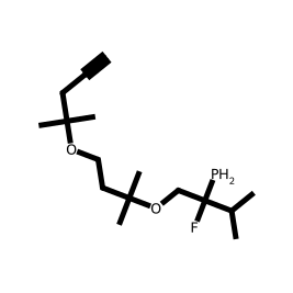 C#CCC(C)(C)OCCC(C)(C)OCC(F)(P)C(C)C